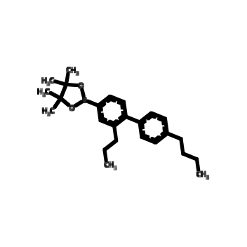 CCCCc1ccc(-c2ccc(B3OC(C)(C)C(C)(C)O3)cc2CCC)cc1